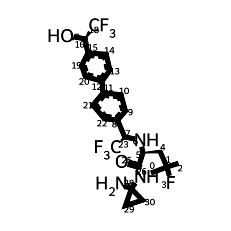 CC(C)(F)C[C@H](N[C@@H](c1ccc(-c2ccc([C@@H](O)C(F)(F)F)cc2)cc1)C(F)(F)F)C(=O)NC1(N)CC1